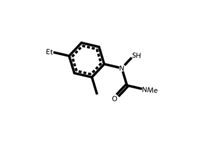 CCc1ccc(N(S)C(=O)NC)c(C)c1